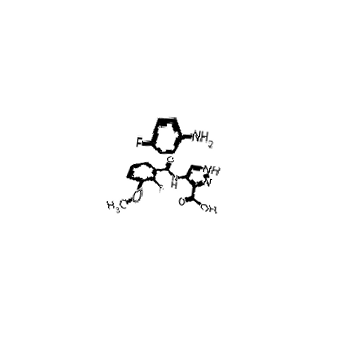 COc1cccc(C(=O)Nc2c[nH]nc2C(=O)O)c1F.Nc1ccc(F)cc1